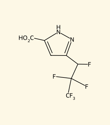 O=C(O)c1cc(C(F)C(F)(F)C(F)(F)F)n[nH]1